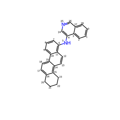 c1ccc2c(Nc3cccc4c3ccc3c5c(ccc34)CCCC5)cncc2c1